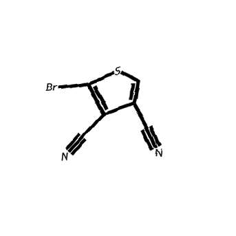 N#Cc1csc(Br)c1C#N